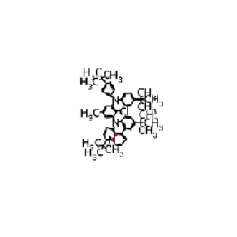 Cc1cc(N(c2ccc(C(C)(C)C)cc2)c2ccc(C(C)(C)C)cc2)c(Cl)c(N(c2ccc(C(C)(C)C)cc2)c2ccc(C(C)(C)C)cc2-c2cccnc2)c1